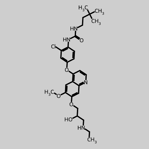 CCNCC(O)COc1cc2nccc(Oc3ccc(NC(=O)NCCC(C)(C)C)c(Cl)c3)c2cc1OC